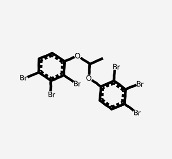 CC(Oc1ccc(Br)c(Br)c1Br)Oc1ccc(Br)c(Br)c1Br